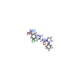 CN(C)[C@H](CNC(=O)[C@H]1CCCN1c1ccccc1)Cc1ccc(C(N)=O)cc1Cl